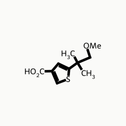 COCC(C)(C)c1cc(C(=O)O)cs1